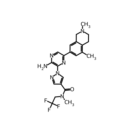 Cc1cc(-c2cnc(N)c(-n3cc(C(=O)N(C)CC(F)(F)F)cn3)n2)cc2c1CCN(C)C2